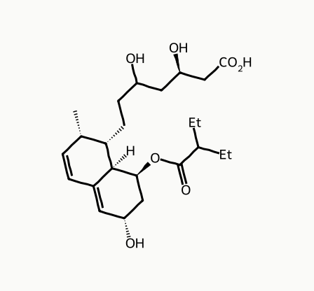 CCC(CC)C(=O)O[C@H]1C[C@H](O)C=C2C=C[C@H](C)[C@H](CCC(O)C[C@@H](O)CC(=O)O)[C@H]21